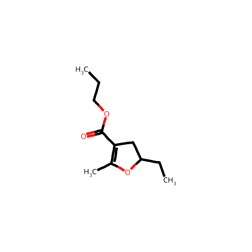 CCCOC(=O)C1=C(C)OC(CC)C1